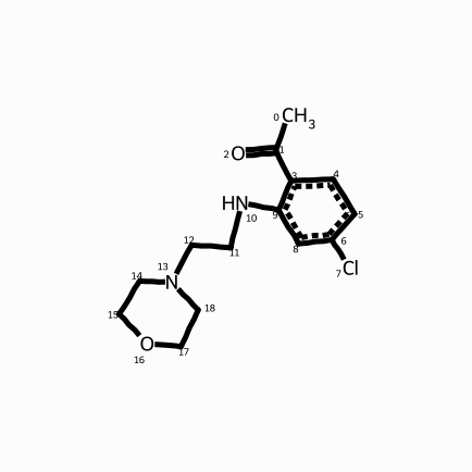 CC(=O)c1ccc(Cl)cc1NCCN1CCOCC1